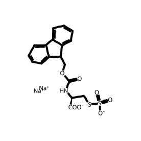 O=C(N[C@@H](CSS(=O)(=O)[O-])C(=O)[O-])OCC1c2ccccc2-c2ccccc21.[Na+].[Na+]